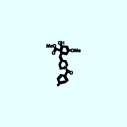 COC(=O)c1c(O)cc(OC)cc1C=C1CCN(C(=O)c2ccc(C)cc2)CC1